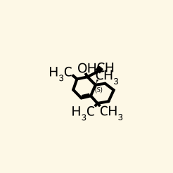 C#CC1(O)C(C)CC=C2C(C)(C)CCC[C@@]21C